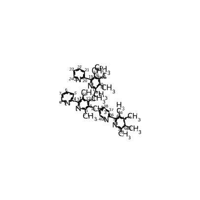 Cc1nc(-c2ccccn2)c(C)c(C)c1C.Cc1nc(-c2ccccn2)c(C)c(C)c1C.Cc1nc(-c2ccccn2)c(C)c(C)c1C.[Cr]